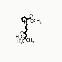 COC(=O)C1CCCN1C/C=C/C(=O)CC(C)(C)C